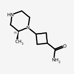 C[C@H]1CNCCN1C1CC(C(N)=O)C1